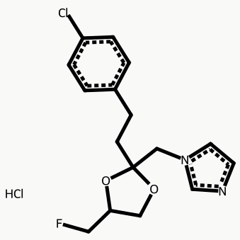 Cl.FCC1COC(CCc2ccc(Cl)cc2)(Cn2ccnc2)O1